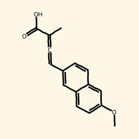 COc1ccc2cc(C=C=C(C)C(=O)O)ccc2c1